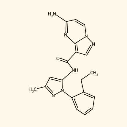 CCc1ccccc1-n1nc(C)cc1NC(=O)c1cnn2ccc(N)nc12